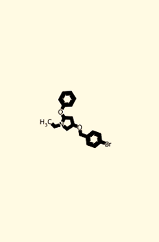 CCN1CC(OCc2ccc(Br)cc2)CC1Oc1ccccc1